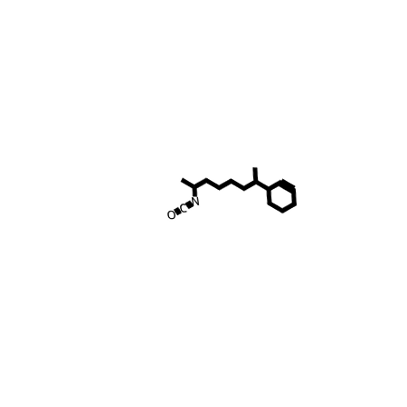 CC(CCCCC(C)C1C#CCCC1)N=C=O